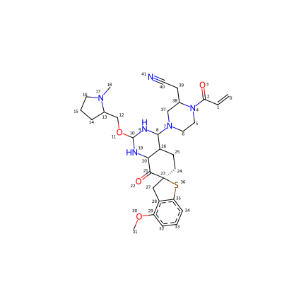 C=CC(=O)N1CCN(C2NC(OCC3CCCN3C)NC3C(=O)[C@]4(CCC32)Cc2c(OC)cccc2S4)CC1CC#N